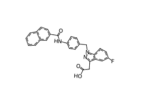 O=C(O)Cc1nn(Cc2ccc(NC(=O)c3ccc4ccccc4c3)cc2)c2ccc(F)cc12